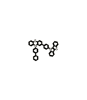 c1ccc(-c2ccc(N3c4ccccc4Sc4ccc(-c5ccc(-n6c7ccccc7c7sc8ccccc8c76)cc5)cc43)cc2)cc1